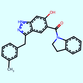 Cc1cccc(Cc2n[nH]c3cc(O)c(C(=O)N4CCc5ccccc54)cc23)c1